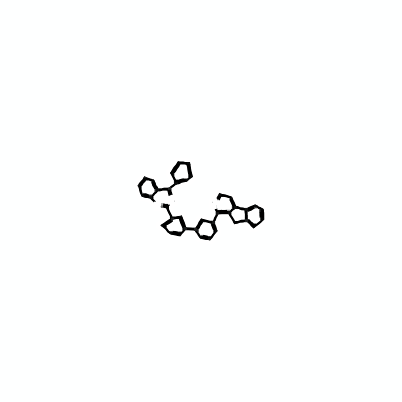 c1ccc(-c2nc(-c3cccc(-c4cccc(-c5nccc6c5Cc5ccccc5-6)c4)c3)nc3ccccc23)cc1